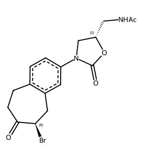 CC(=O)NC[C@H]1CN(c2ccc3c(c2)C[C@@H](Br)C(=O)CC3)C(=O)O1